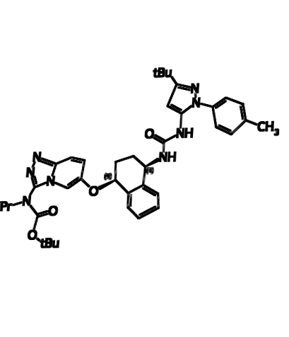 Cc1ccc(-n2nc(C(C)(C)C)cc2NC(=O)N[C@@H]2CC[C@H](Oc3ccc4nnc(N(C(=O)OC(C)(C)C)C(C)C)n4c3)c3ccccc32)cc1